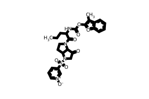 CCCC(NC(=O)Oc1oc2ccccc2c1C)C(=O)N1CCC2C1C(=O)CN2S(=O)(=O)c1ccc[n+]([O-])c1